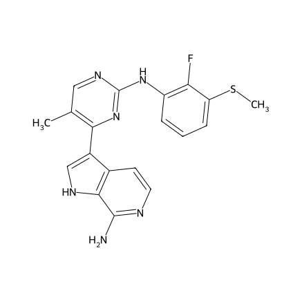 CSc1cccc(Nc2ncc(C)c(-c3c[nH]c4c(N)nccc34)n2)c1F